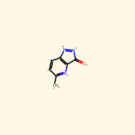 Cc1ccc2c(n1)C(=O)N=N2